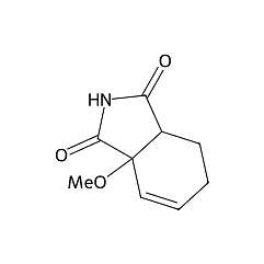 COC12C=CCCC1C(=O)NC2=O